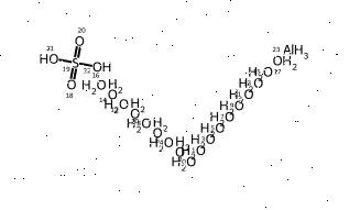 O.O.O.O.O.O.O.O.O.O.O.O.O.O.O.O.O.O.O=S(=O)(O)O.[AlH3]